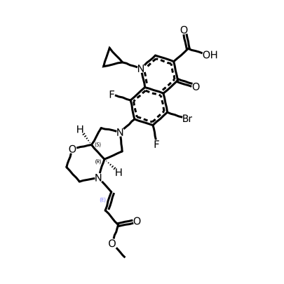 COC(=O)/C=C/N1CCO[C@H]2CN(c3c(F)c(Br)c4c(=O)c(C(=O)O)cn(C5CC5)c4c3F)C[C@H]21